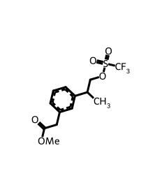 COC(=O)Cc1cccc(C(C)COS(=O)(=O)C(F)(F)F)c1